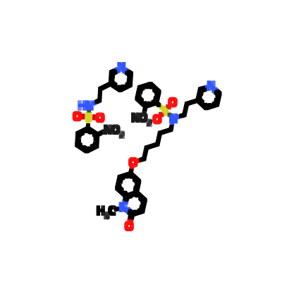 Cn1c(=O)ccc2cc(OCCCCCN(CCc3cccnc3)S(=O)(=O)c3ccccc3[N+](=O)[O-])ccc21.O=[N+]([O-])c1ccccc1S(=O)(=O)NCCc1cccnc1